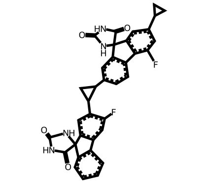 O=C1NC(=O)C2(N1)c1ccccc1-c1cc(F)c(C3CC3c3ccc4c(c3)C3(NC(=O)NC3=O)c3cc(C5CC5)cc(F)c3-4)cc12